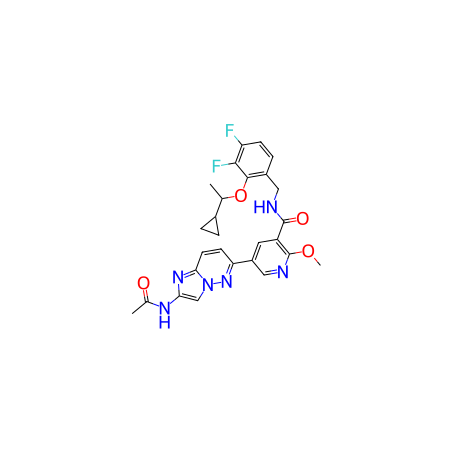 COc1ncc(-c2ccc3nc(NC(C)=O)cn3n2)cc1C(=O)NCc1ccc(F)c(F)c1OC(C)C1CC1